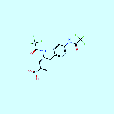 C[C@H](C[C@H](Cc1ccc(NC(=O)C(F)(F)F)cc1)NC(=O)C(F)(F)F)C(=O)O